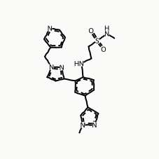 CNS(=O)(=O)CCNc1ccc(-c2cnn(C)c2)cc1-c1ccn(Cc2cccnc2)n1